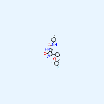 Cc1ccc(NC(=O)c2cc3c(-c4ccccc4Oc4c(C)cc(F)cc4C)cn(C)c(=O)c3[nH]2)cc1